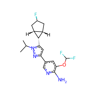 CC(C)n1nc(-c2cnc(N)c(OC(F)F)c2)cc1[C@@H]1[C@@H]2C[C@@H](F)C[C@@H]21